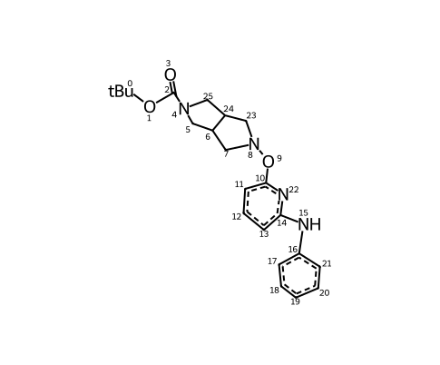 CC(C)(C)OC(=O)N1CC2CN(Oc3cccc(Nc4ccccc4)n3)CC2C1